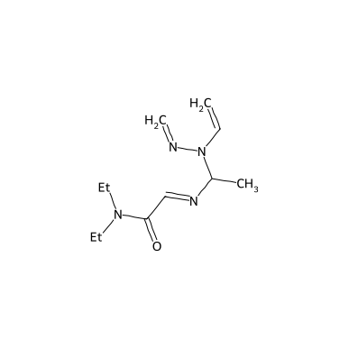 C=CN(N=C)C(C)/N=C/C(=O)N(CC)CC